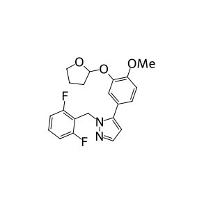 COc1ccc(-c2ccnn2Cc2c(F)cccc2F)cc1OC1CCCO1